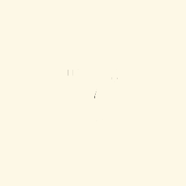 OCC[C@@H]1OCCC1O